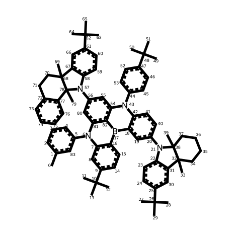 Cc1cccc(N2c3cc(C(C)(C)C)ccc3B3c4cc(N5c6ccc(C(C)(C)C)cc6C6(C)CCCCC56C)ccc4N(c4ccc(C(C)(C)C)cc4)c4cc(N5c6ccc(C(C)(C)C)cc6C6(C)CCc7ccccc7C56C)cc2c43)c1